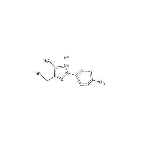 Cc1ccc(-c2nc(CO)c(C)[nH]2)cc1.Cl